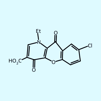 CCn1cc(C(=O)O)c(=O)c2oc3ccc(Cl)cc3c(=O)c21